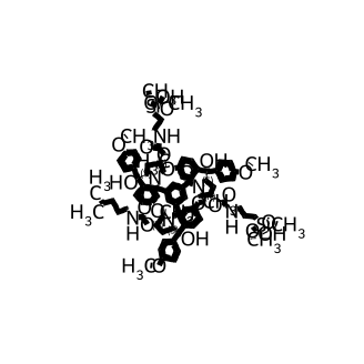 COc1ccc(C(O)(c2ccc(OC)cc2)[C@@H]2C[C@@H](OC(=O)NCCCC(C)C)CN2C(=O)c2cc(C(=O)N3C[C@H](OC(=O)NCCC[Si](O)(OC)OC)C[C@H]3C(O)(c3ccc(OC)cc3)c3ccc(OC)cc3)cc(C(=O)N3C[C@H](OC(=O)NCCC[Si](O)(OC)OC)C[C@H]3C(O)(c3ccc(OC)cc3)c3ccc(OC)cc3)c2)cc1